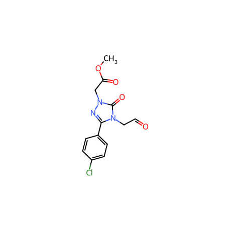 COC(=O)Cn1nc(-c2ccc(Cl)cc2)n(CC=O)c1=O